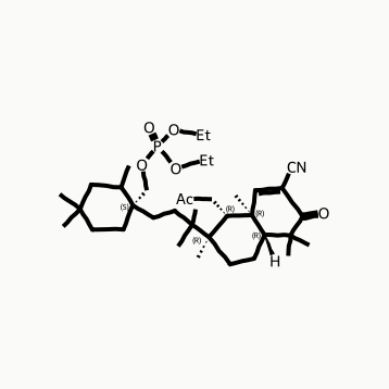 CCOP(=O)(OCC)OC[C@]1(CCC(C)(C)[C@]2(C)CC[C@H]3C(C)(C)C(=O)C(C#N)=C[C@]3(C)[C@H]2CC(C)=O)CCC(C)(C)CC1C